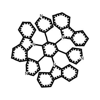 c1ccc2c(c1)c1ccccc1n2-c1c(-c2ccncc2)c(-n2c3ccccc3c3ccccc32)c(-c2ccncc2)c(-n2c3ccccc3c3ccccc32)c1-c1ccncc1